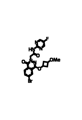 COC1CC(Oc2nn(CC(=O)Nc3ncc(F)cn3)c(=O)c3ccc(Br)cc23)C1